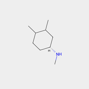 CN[C@@H]1CCC(C)C(C)C1